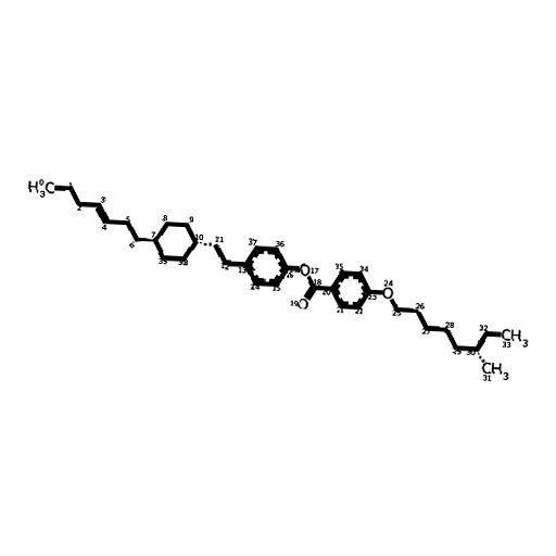 CCC/C=C/CC[C@H]1CC[C@H](CCc2ccc(OC(=O)c3ccc(OCCCCC[C@@H](C)CC)cc3)cc2)CC1